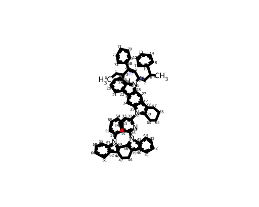 CCC(C)/C(=C\C(=C/C(C)c1ccccc1)n1c2ccccc2c2cc3c(cc21)c1c(n3-c2cccc(-n3c4c(c5ccccc53)CCc3c-4n(-c4ccccc4)c4ccccc34)n2)CCCC1)c1ccccc1